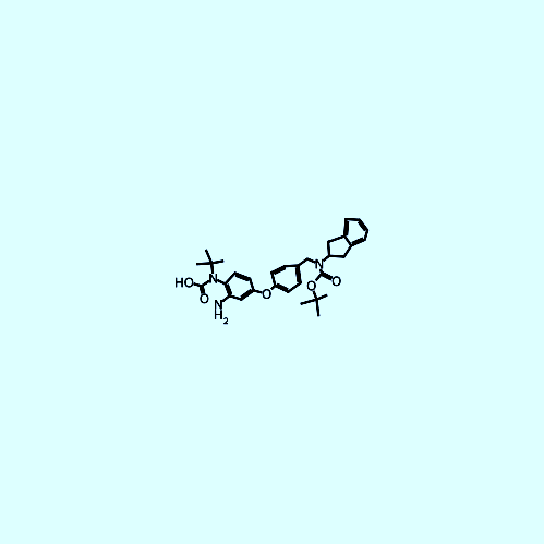 CC(C)(C)OC(=O)N(Cc1ccc(Oc2ccc(N(C(=O)O)C(C)(C)C)c(N)c2)cc1)C1Cc2ccccc2C1